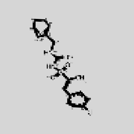 CC(=Cc1ccc(Cl)cc1)S(=O)(=O)NC(=O)NCC1CC2CCC1O2